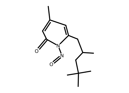 Cc1cc(CC(C)CC(C)(C)C)n(N=O)c(=O)c1